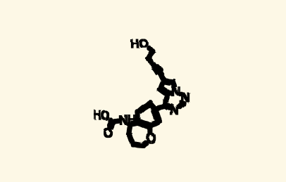 O=C(O)NC1CCCOc2cc(-c3ncnn4cc(C#CCCO)cc34)ccc21